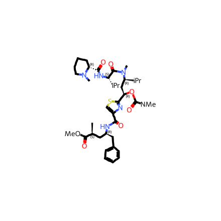 CNC(=O)O[C@H](C[C@H](C(C)C)N(C)C(=O)[C@@H](NC(=O)[C@H]1CCCCN1C)C(C)C)c1nc(C(=O)N[C@@H](Cc2ccccc2)C[C@H](C)C(=O)OC)cs1